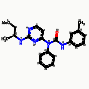 COC[C@H](C)Nc1nccc(N(C(=O)Nc2cccc(C)c2)c2ccccc2)n1